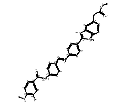 COC(=O)Cc1ccc2[nH]c(-c3ccc(N=Cc4ccc(NC(=O)c5ccc(OC)c(Br)c5)cc4)cc3)nc2c1